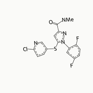 CNC(=O)c1cc(Sc2ccc(Cl)nc2)n(-c2cc(F)ccc2F)n1